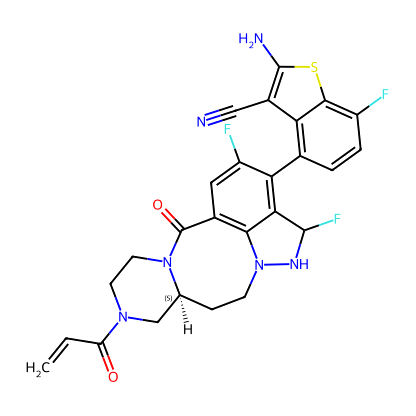 C=CC(=O)N1CCN2C(=O)c3cc(F)c(-c4ccc(F)c5sc(N)c(C#N)c45)c4c3N(CC[C@H]2C1)NC4F